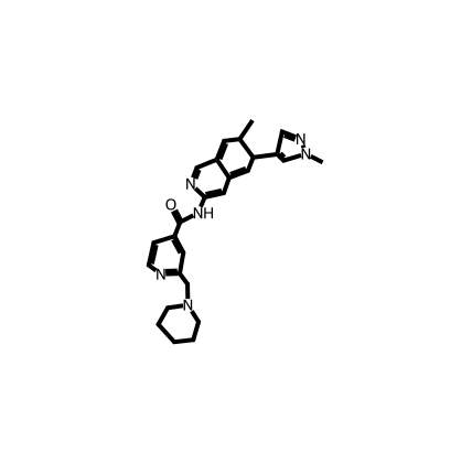 CC1C=c2cnc(NC(=O)c3ccnc(CN4CCCCC4)c3)cc2=CC1c1cnn(C)c1